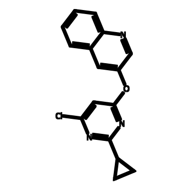 Clc1cc(Oc2cnc3ccccc3c2)nc(C2CC2)n1